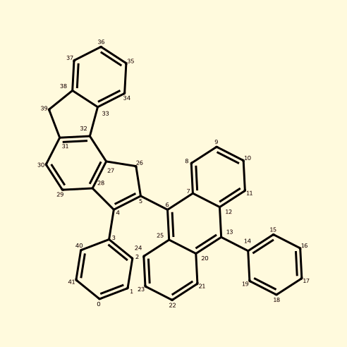 c1ccc(C2=C(c3c4ccccc4c(-c4ccccc4)c4ccccc34)Cc3c2ccc2c3-c3ccccc3C2)cc1